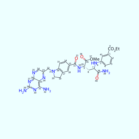 CCOC(=O)c1cccc(NC(C[C@H](NC(=O)c2ccc3c(c2)CCN3Cc2cnc3nc(N)nc(N)c3n2)C(=O)OC)C(N)=O)c1